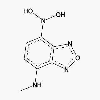 CNc1ccc(N(O)O)c2nonc12